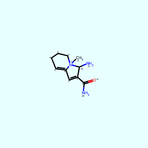 C[N+]12CCCC=C1C=C(C(N)=O)C2N